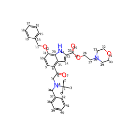 CC(C)(C)N(CC(=O)c1ccc(OCc2ccccc2)c2[nH]c(C(=O)OCCN3CCOCC3)cc12)Cc1ccccc1